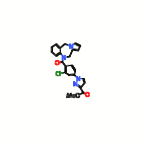 COC(=O)c1ccn(-c2ccc(C(=O)N3Cc4cccn4Cc4ccccc43)c(Cl)c2)n1